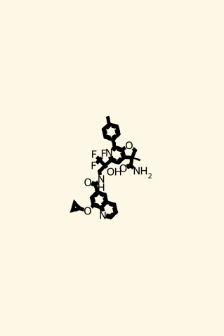 Cc1ccc(-c2nc(C(O)(CNC(=O)c3cc(OC4CC4)c4ncccc4c3)C(F)(F)F)cc3c2OC[C@]3(C)C(N)=O)cc1